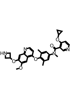 COc1cc2c(Oc3c(C)cc(N(C)C(=O)c4cnccc4OC4CC4)cc3C)ccnc2cc1OC1CNC1